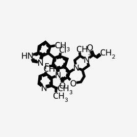 C=CC(=O)N1CC2CCOc3c(c4cc(Cl)c(-c5c(C)ccc6[nH]cnc56)c(F)c4n(-c4c(C)ccnc4C(C)C)c3=O)N2CC1C